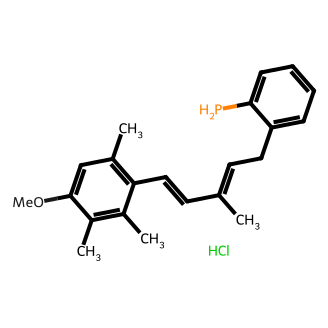 COc1cc(C)c(C=CC(C)=CCc2ccccc2P)c(C)c1C.Cl